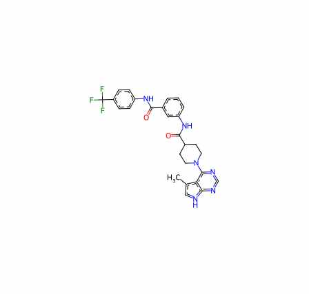 Cc1c[nH]c2ncnc(N3CCC(C(=O)Nc4cccc(C(=O)Nc5ccc(C(F)(F)F)cc5)c4)CC3)c12